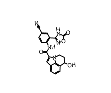 N#Cc1ccc(NC(=O)c2cc3cccc4c3n2CCC4O)c(-c2noc(=O)[nH]2)c1